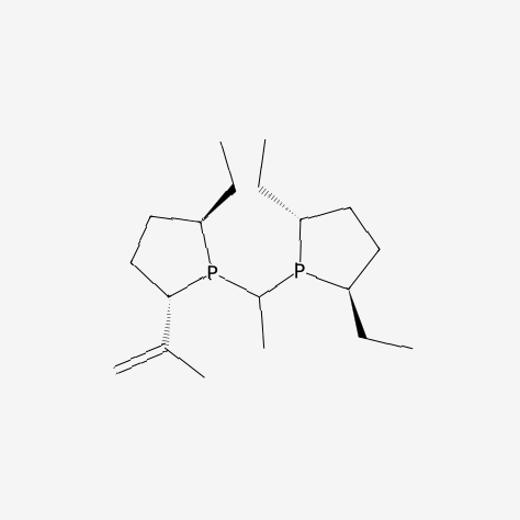 C=C(C)[C@@H]1CC[C@@H](CC)P1C(C)P1[C@H](CC)CC[C@H]1CC